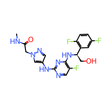 CNC(=O)Cn1cc(Nc2ncc(F)c(N[C@H](CO)c3cc(F)ccc3F)n2)cn1